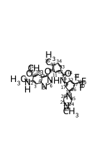 CNc1cc2ncnc(Oc3cc(C(=O)Nc4cc(N5CCN(C)CC5)cc(C(F)(F)F)c4)ccc3C)c2cc1OC